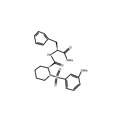 CNC(=O)[C@H](Cc1ccccc1)NC(=O)[C@@H]1CCCCN1S(=O)(=O)c1cccc(OC)c1